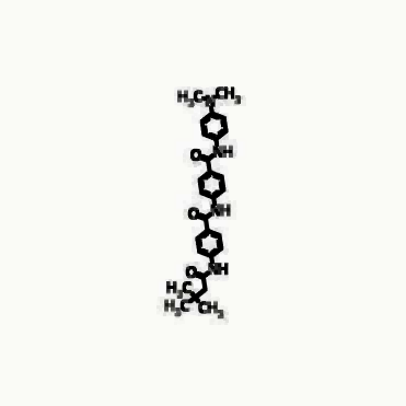 CN(C)c1ccc(NC(=O)c2ccc(NC(=O)c3ccc(NC(=O)CC(C)(C)C)cc3)cc2)cc1